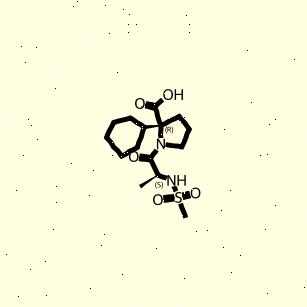 C[C@H](NS(C)(=O)=O)C(=O)N1CCC[C@]1(C(=O)O)C1CCCCC1